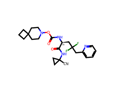 N#CC1(NC(=O)[C@H](CC(F)(F)Cc2ccccn2)NC(=O)ON2CCC3(CCC3)CC2)CC1